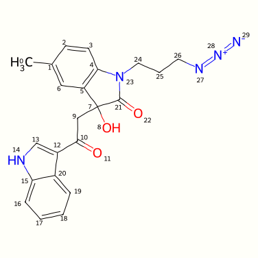 Cc1ccc2c(c1)C(O)(CC(=O)c1c[nH]c3ccccc13)C(=O)N2CCCN=[N+]=[N-]